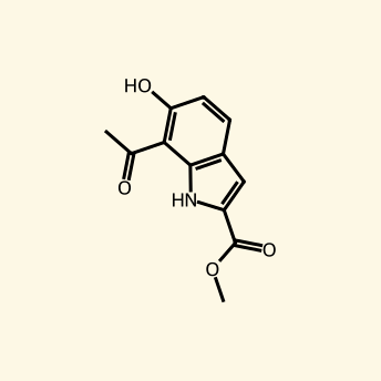 COC(=O)c1cc2ccc(O)c(C(C)=O)c2[nH]1